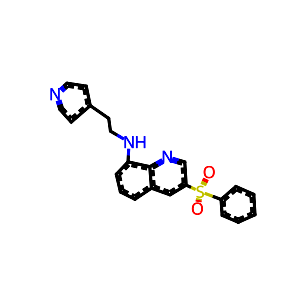 O=S(=O)(c1ccccc1)c1cnc2c(NCCc3ccncc3)cccc2c1